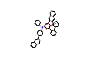 CC1(C)c2cc3ccccc3cc2-c2cccc(-c3ccccc3-c3ccccc3-c3ccc(N(c4ccccc4)c4ccc(-c5ccc6ccccc6c5)cc4)cc3)c21